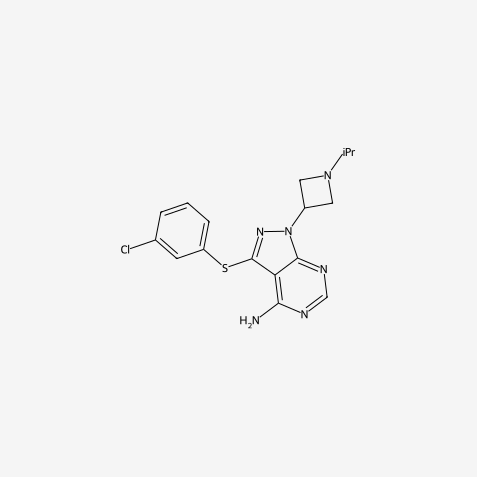 CC(C)N1CC(n2nc(Sc3cccc(Cl)c3)c3c(N)ncnc32)C1